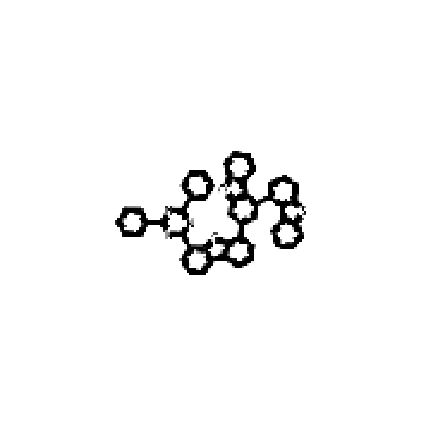 c1ccc(-c2nc(-c3ccccc3)nc(-c3cccc4c3sc3c(-c5cc(-c6cccc7sc8ccccc8c67)c6c(c5)oc5ccccc56)cccc34)n2)cc1